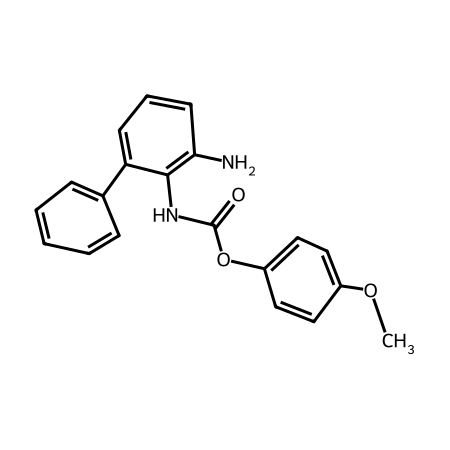 COc1ccc(OC(=O)Nc2c(N)cccc2-c2ccccc2)cc1